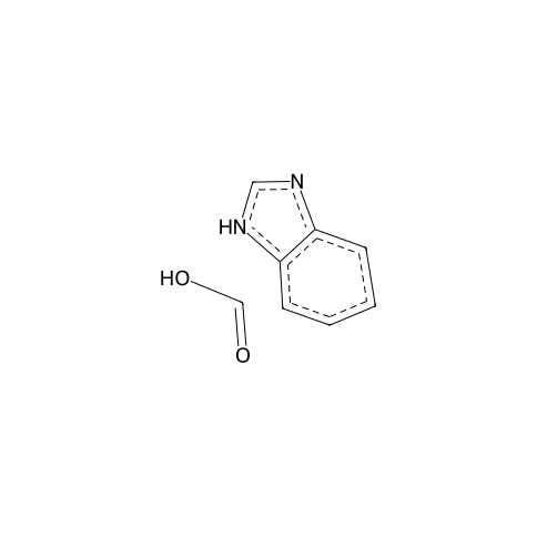 O=CO.c1ccc2[nH]cnc2c1